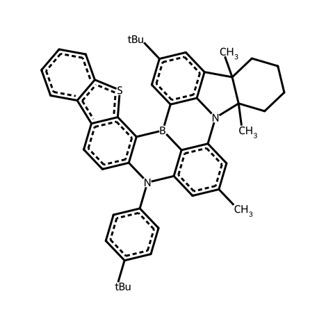 Cc1cc2c3c(c1)N1c4c(cc(C(C)(C)C)cc4C4(C)CCCCC14C)B3c1c(ccc3c1sc1ccccc13)N2c1ccc(C(C)(C)C)cc1